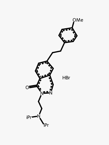 Br.COc1ccc(CCc2ccc3c(=O)n(CCN(C(C)C)C(C)C)ncc3c2)cc1